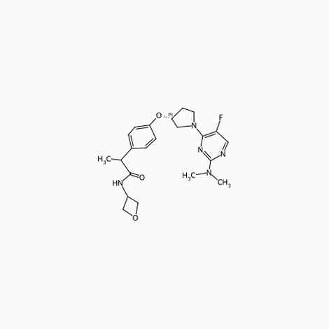 CC(C(=O)NC1COC1)c1ccc(O[C@@H]2CCN(c3nc(N(C)C)ncc3F)C2)cc1